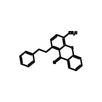 O=C(O)c1ccc(CCc2ccccc2)c2c(=O)c3ccccc3sc12